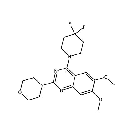 COc1cc2nc(N3CCOCC3)nc(N3CCC(F)(F)CC3)c2cc1OC